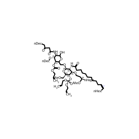 C=CCOC(=O)O[C@@H]1C(CO[C@@H]2O[C@H](COC)[C@@H](OP(=O)(OCC=C)OCC=C)[C@H](OCC[C@@H](CCCCCCC)OC)[C@H]2NC(=O)CCCCCCCCC/C=C\CCCCCC)OC(O)[C@H](NC(=O)CC(=O)CCCCCCCCCCC)[C@H]1OCCCCCCCCCC